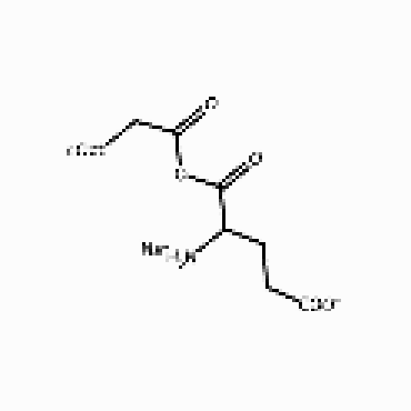 CCCCCCCCCC(=O)OC(=O)C(N)CCC(=O)[O-].[Na+]